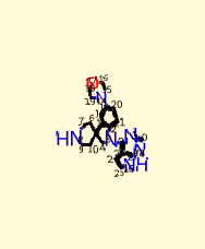 c1nc(N2CC3(CCNCC3)c3cc(N4CCOCC4)ccc32)c2cc[nH]c2n1